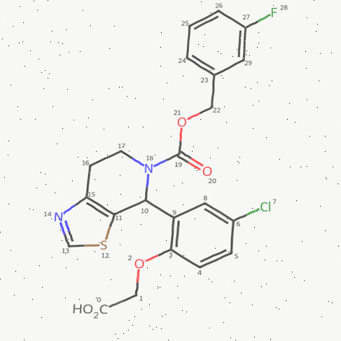 O=C(O)COc1ccc(Cl)cc1C1c2scnc2CCN1C(=O)OCc1cccc(F)c1